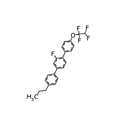 CCCc1ccc(-c2ccc(-c3ccc(OC(F)(F)C(F)F)cc3)c(F)c2)cc1